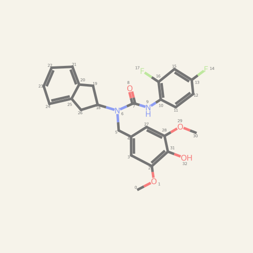 COc1cc(CN(C(=O)Nc2ccc(F)cc2F)C2Cc3ccccc3C2)cc(OC)c1O